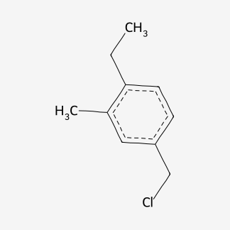 CCc1ccc(CCl)cc1C